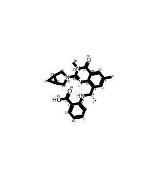 Cc1cc([C@H](C)Nc2ccccc2C(=O)O)c2nc(N3CC4CC4C3)n(C)c(=O)c2c1